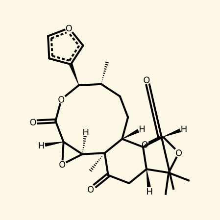 C[C@@H]1CC[C@H]2[C@@](C)(C(=O)C[C@H]3C(C)(C)O[C@H]4CC(=O)OC[C@]432)[C@H]2O[C@@H]2C(=O)O[C@H]1c1ccoc1